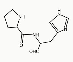 O=[C]C(Cc1c[nH]cn1)NC(=O)C1CCCN1